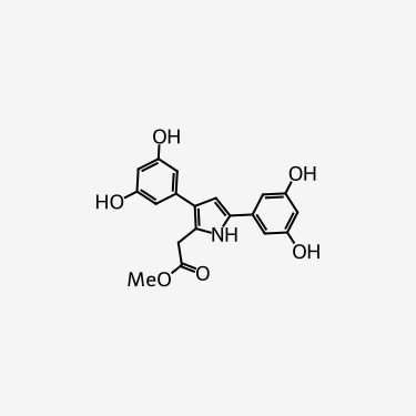 COC(=O)Cc1[nH]c(-c2cc(O)cc(O)c2)cc1-c1cc(O)cc(O)c1